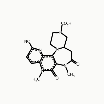 CN1C(=O)CC2CN(C(=O)O)CCN2c2c1c(=O)n(C)c1ccc(C#N)nc21